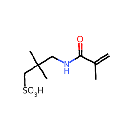 C=C(C)C(=O)NCC(C)(C)CS(=O)(=O)O